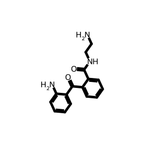 NCCNC(=O)c1ccccc1C(=O)c1ccccc1N